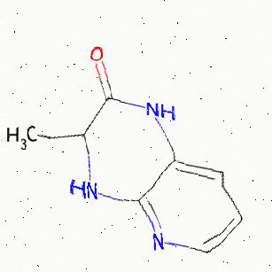 CC1Nc2ncccc2NC1=O